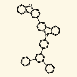 c1ccc(-c2cc(-c3ccccc3)cc(-c3ccc(-n4c5ccccc5c5cc(-c6ccc7oc8ccccc8c7c6)ccc54)cc3)c2)cc1